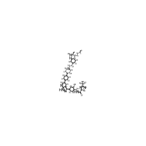 C=CCCC(C(=C)NC)c1ccc(CCN2CCC(c3ccc(-c4cnc5[nH]nc(-c6ccc(CNC(=C)C7=NC(C(C)(C)C)=NC7)c(C)c6)c5c4)cc3)CC2)cc1